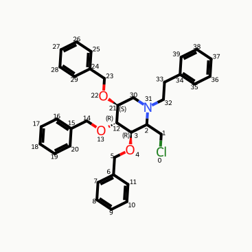 ClCC1[C@@H](OCc2ccccc2)[C@H](OCc2ccccc2)[C@@H](OCc2ccccc2)CN1CCc1ccccc1